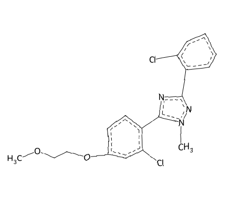 COCCOc1ccc(-c2nc(-c3ccccc3Cl)nn2C)c(Cl)c1